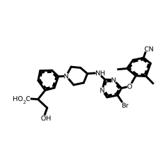 Cc1cc(C#N)cc(C)c1Oc1nc(NC2CCN(c3cccc(C(CO)C(=O)O)c3)CC2)ncc1Br